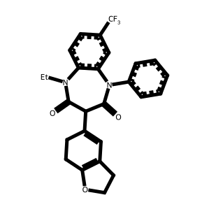 CCN1C(=O)C(C2=CC3=C(CC2)OCC3)C(=O)N(c2ccccc2)c2cc(C(F)(F)F)ccc21